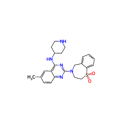 Cc1ccc2nc(N3CCS(=O)(=O)c4ccccc4C3)nc(NC3CCNCC3)c2c1